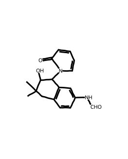 CC1(C)Cc2ccc(NC=O)cc2C(n2ccccc2=O)C1O